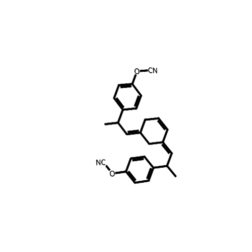 CC(C=C1C=CCC(=CC(C)c2ccc(OC#N)cc2)C1)c1ccc(OC#N)cc1